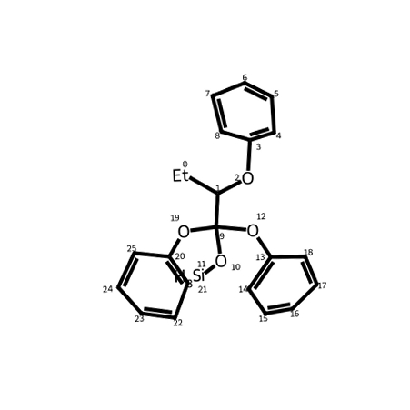 CCC(Oc1ccccc1)C(O[SiH3])(Oc1ccccc1)Oc1ccccc1